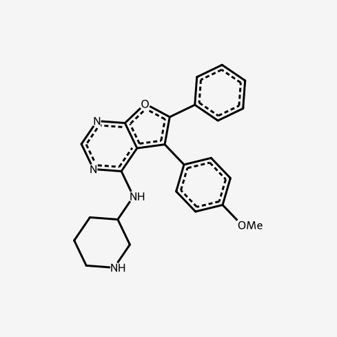 COc1ccc(-c2c(-c3ccccc3)oc3ncnc(NC4CCCNC4)c23)cc1